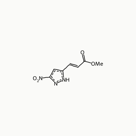 COC(=O)/C=C/c1cc([N+](=O)[O-])n[nH]1